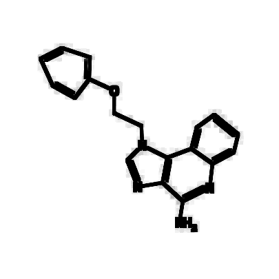 Nc1nc2ccccc2c2c1ncn2CCOc1ccccc1